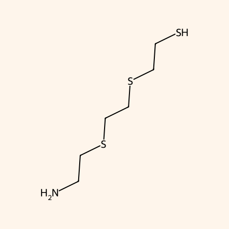 NCCSCCSCCS